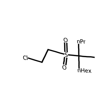 CCCCCCC(C)(CCC)S(=O)(=O)CCCl